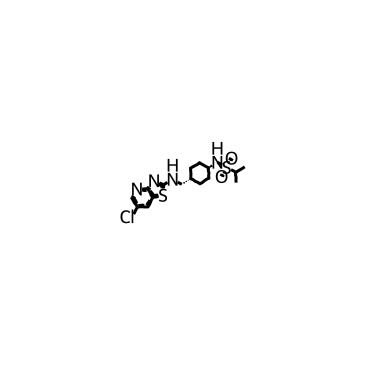 CC(C)S(=O)(=O)N[C@H]1CC[C@H](CNc2nc3ncc(Cl)cc3s2)CC1